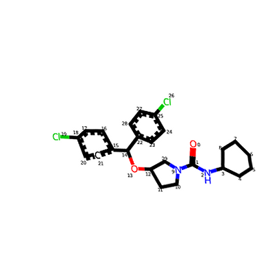 O=C(NC1CCCCC1)N1CCC(OC(c2ccc(Cl)cc2)c2ccc(Cl)cc2)C1